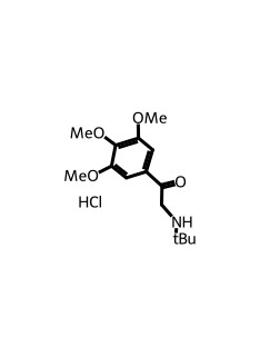 COc1cc(C(=O)CNC(C)(C)C)cc(OC)c1OC.Cl